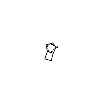 c1cc2c([nH]1)CC2